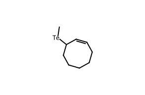 C[Te]C1C=CCCCCC1